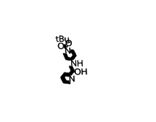 CC(C)(C)OC(=O)N1CCC(NC[C@@H](O)c2ccccn2)CC1